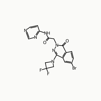 O=C(Cn1nc(N2CC(F)(F)C2)c2cc(Br)ccc2c1=O)Nc1ccncn1